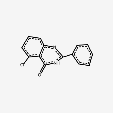 O=c1[nH]c(-c2ccccc2)nc2cccc(Cl)c12